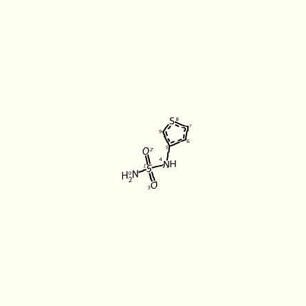 NS(=O)(=O)Nc1ccsc1